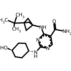 CC(C)(C)C12CC(Nc3nc(N[C@H]4CC[C@H](O)CC4)ncc3C(N)=O)(C1)C2